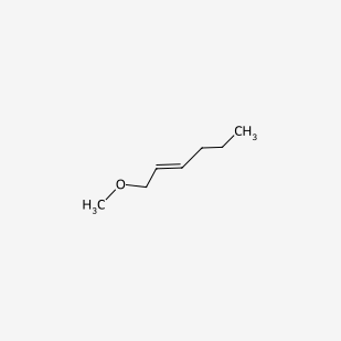 CCCC=CCOC